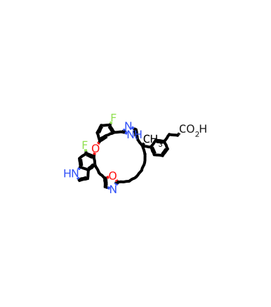 CC1(c2cccc(CCC(=O)O)c2)CCCCCc2ncc(o2)Cc2c(c(F)cc3[nH]ccc23)Oc2ccc(F)c(c2)-c2ncc1[nH]2